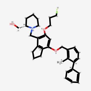 Cc1c(COc2cc(OCCCF)c(CN3CCCC[C@H]3CO)c3c2CCC3)cccc1-c1ccccc1